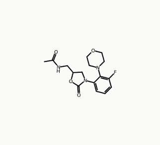 CC(=O)NCC1CN(c2cccc(F)c2N2CCOCC2)C(=O)O1